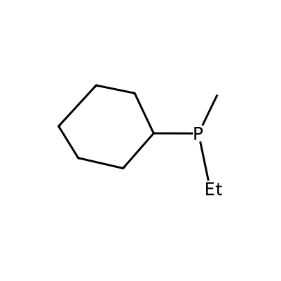 CCP(C)C1CCCCC1